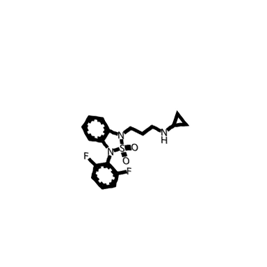 O=S1(=O)N(CCCNC2CC2)c2ccccc2N1c1c(F)cccc1F